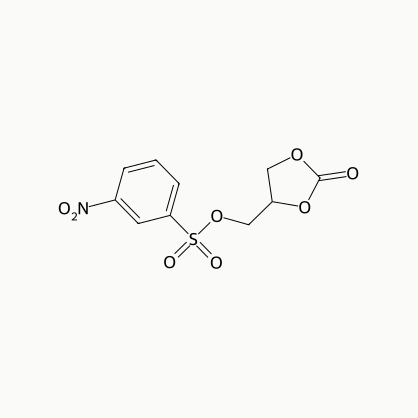 O=C1OCC(COS(=O)(=O)c2cccc([N+](=O)[O-])c2)O1